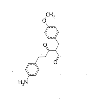 COc1ccc(CC([C]=O)C(=O)CCc2ccc(N)cc2)cc1